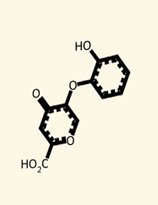 O=C(O)c1cc(=O)c(Oc2ccccc2O)co1